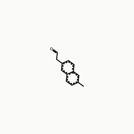 Cc1ccc2cc(CC=O)ccc2c1